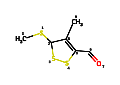 CSC1SSC(C=O)=C1C